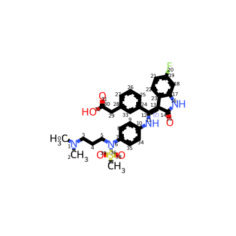 CN(C)CCCN(c1ccc(N/C(=C2\C(=O)Nc3cc(F)ccc32)c2cccc(CC(=O)O)c2)cc1)S(C)(=O)=O